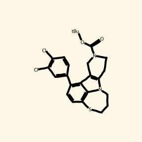 CC(C)(C)OC(=O)N1CCc2c(c3c(-c4ccc(Cl)c(Cl)c4)ccc4c3n2CCCS4)C1